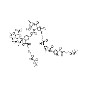 C=C1C[C@H]2C(O)N(C(=O)OCc3ccc(O[C@@H]4O[C@H](C(=O)OC)[C@@H](OC(C)=O)[C@H](OC(C)=O)[C@H]4OC(C)=O)c(C(=O)NCCOCCONC(=O)OC(C)(C)C)c3)c3cc(OCCCC(=O)Nc4cc(C(=O)Nc5cc(C(=O)NCCCO[Si](C)(C)C(C)(C)C)n(C)c5)n(C)c4)c(OC)cc3C(=O)N2C1